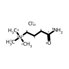 C[N+](C)(C)CCCC(N)=O.[Cl-]